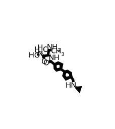 CC(C)(N)[C@H](NC(=O)c1ccc(-c2ccc(CNC3CC3)cc2)cc1)C(=O)NO